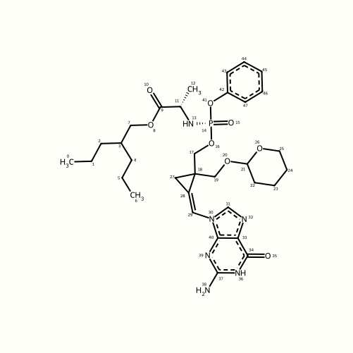 CCCC(CCC)COC(=O)[C@H](C)N[P@](=O)(OCC1(COC2CCCCO2)C/C1=C/n1cnc2c(=O)[nH]c(N)nc21)Oc1ccccc1